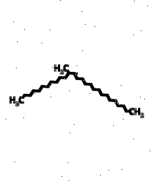 CCCCCCCCCCCCCC[CH]C(C)CCCCCCCCCCC